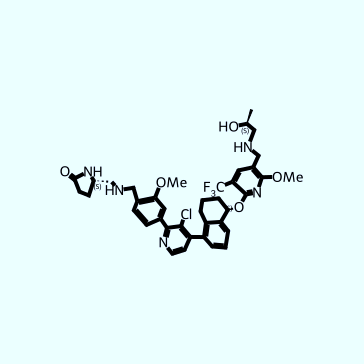 COc1cc(-c2nccc(-c3cccc4c3CCC[C@@H]4Oc3nc(OC)c(CNC[C@H](C)O)cc3C(F)(F)F)c2Cl)ccc1CNC[C@@H]1CCC(=O)N1